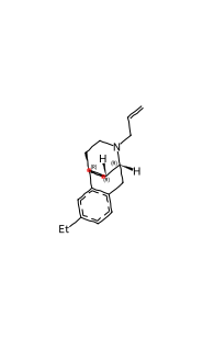 C=CCN1CC[C@]23CCCC[C@H]2[C@H]1Cc1ccc(CC)cc13